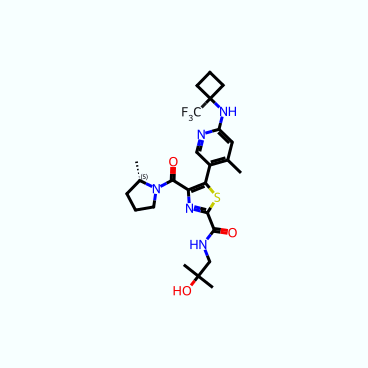 Cc1cc(NC2(C(F)(F)F)CCC2)ncc1-c1sc(C(=O)NCC(C)(C)O)nc1C(=O)N1CCC[C@@H]1C